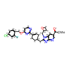 COC(=O)c1cnc2nc(CC3CC=C(c4nccc(OCc5ccc(Cl)cc5F)n4)CC3)n(CC3CCO3)c2c1